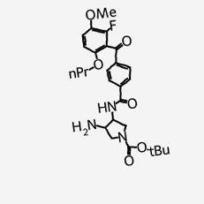 CCCOc1ccc(OC)c(F)c1C(=O)c1ccc(C(=O)NC2CN(C(=O)OC(C)(C)C)CC2N)cc1